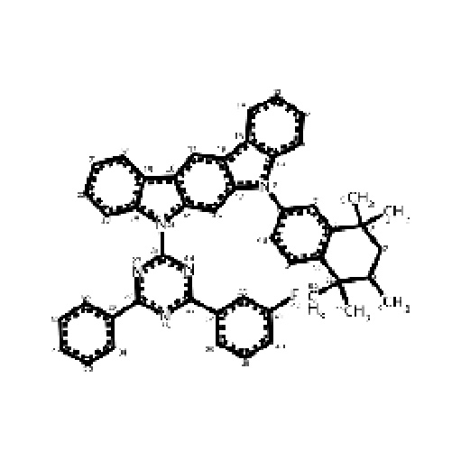 CC1CC(C)(C)c2cc(-n3c4ccccc4c4cc5c6ccccc6n(-c6nc(-c7ccccc7)nc(-c7cccc(F)c7)n6)c5cc43)ccc2C1(C)C